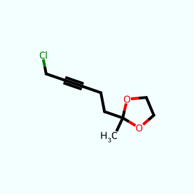 CC1(CCC#CCCl)OCCO1